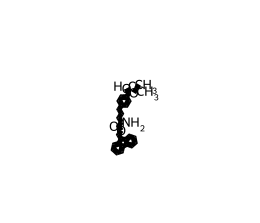 CC(C)(C)OC(=O)c1ccc(CCCC(N)C(=O)OCC2c3ccccc3-c3ccccc32)cc1